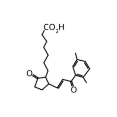 Cc1ccc(C)c(C(=O)/C=C/C2CCC(=O)C2CCCCCCC(=O)O)c1